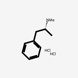 CN[C@H](C)Cc1ccccc1.Cl.Cl